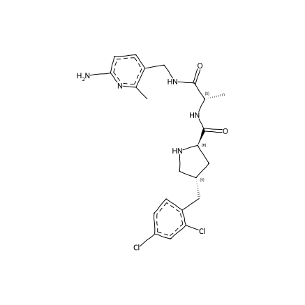 Cc1nc(N)ccc1CNC(=O)[C@H](C)NC(=O)[C@H]1C[C@H](Cc2ccc(Cl)cc2Cl)CN1